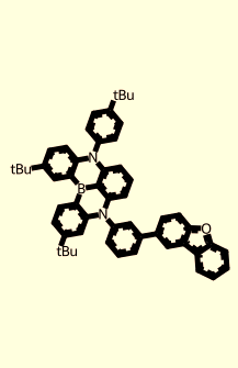 CC(C)(C)c1ccc(N2c3ccc(C(C)(C)C)cc3B3c4ccc(C(C)(C)C)cc4N(c4cccc(-c5ccc6oc7ccccc7c6c5)c4)c4cccc2c43)cc1